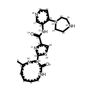 Cc1cccc[nH]c(=O)n(-c2nc(C(=O)Nc3cnccc3N3CCNCC3)cs2)n1